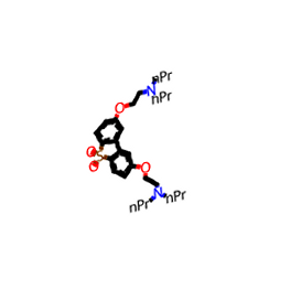 CCCN(CCC)CCOc1ccc2c(c1)-c1cc(OCCN(CCC)CCC)ccc1S2(=O)=O